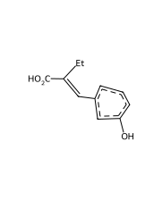 CC/C(=C\c1cccc(O)c1)C(=O)O